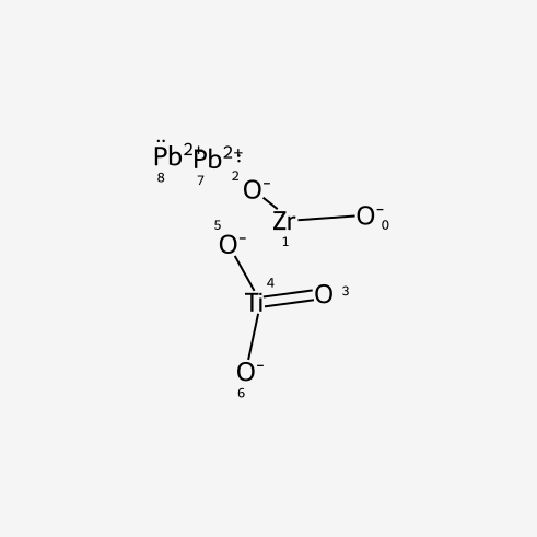 [O-][Zr][O-].[O]=[Ti]([O-])[O-].[Pb+2].[Pb+2]